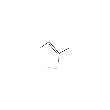 CC.CC=C(C)C